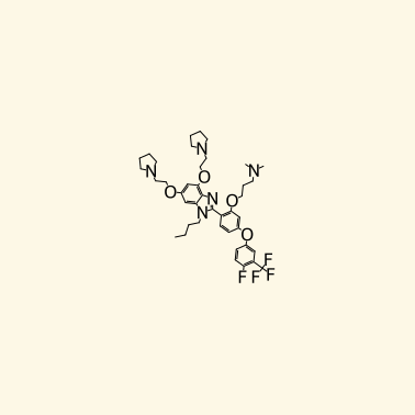 CCCCn1c(-c2ccc(Oc3ccc(F)c(C(F)(F)F)c3)cc2OCCCN(C)C)nc2c(OCCN3CCCC3)cc(OCCN3CCCC3)cc21